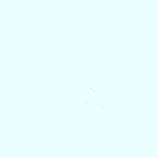 Cc1ccc(-c2ccc3c4ccccc4n(-c4ccc(-c5cccc6sc7ccccc7c56)cc4-c4nc(-c5ccccc5)nc(-c5ccccc5)n4)c3c2)c(C(F)(F)F)c1